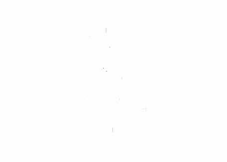 CCOC(=O)C(=CNc1cccc(F)c1Br)C(=O)OCC